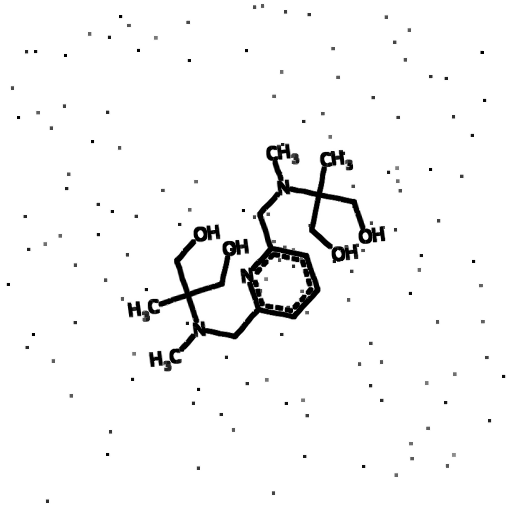 CN(Cc1cccc(CN(C)C(C)(CO)CO)n1)C(C)(CO)CO